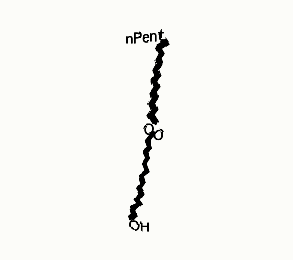 CCCCCC=CCC=CCC=CCC=CCCCCOC(=O)CCCCCCCCCCCCCCCO